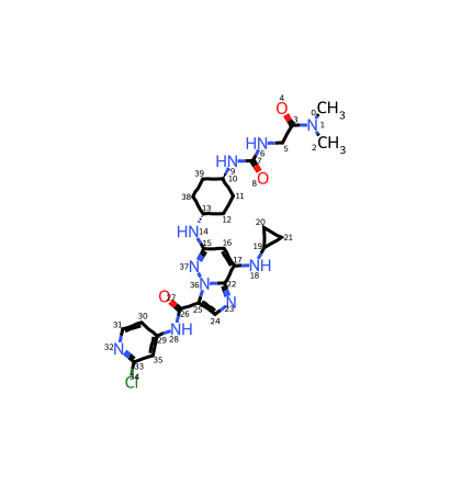 CN(C)C(=O)CNC(=O)N[C@H]1CC[C@H](Nc2cc(NC3CC3)c3ncc(C(=O)Nc4ccnc(Cl)c4)n3n2)CC1